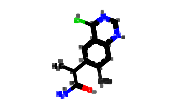 COc1cc2ncnc(Cl)c2cc1C(C)C(N)=O